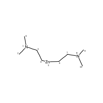 CN(C)C[CH2][Zn][CH2]CN(C)C